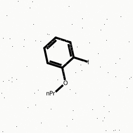 CCCOc1ccccc1I